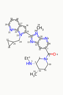 CCN[C@@H]1CN(C(=O)c2cnc3c(c2)nc(-c2cc4cccnc4n2CC2CC2)n3C)CC[C@@H]1C